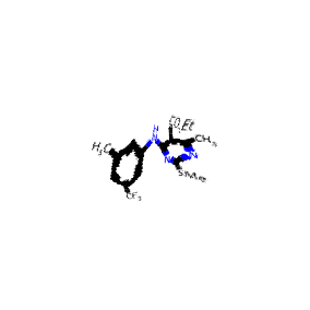 CCOC(=O)c1c(C)nc(SC)nc1Nc1cc(C)cc(C(F)(F)F)c1